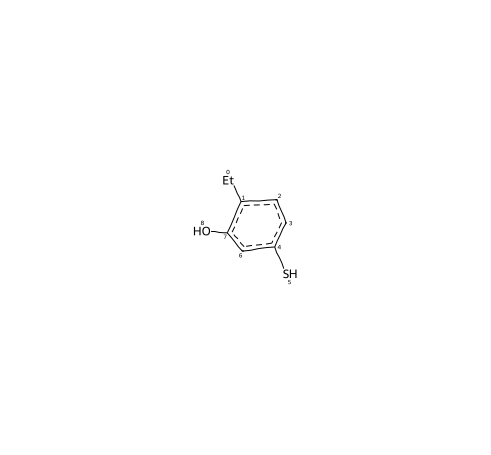 CCc1ccc(S)cc1O